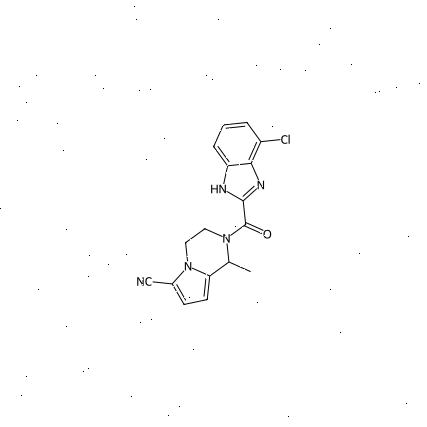 CC1c2ccc(C#N)n2CCN1C(=O)c1nc2c(Cl)cccc2[nH]1